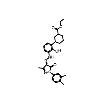 CCOC(=O)C1CCCC(c2cccc(NN=C3C(=O)N(c4ccc(C)c(C)c4)N=C3C)c2O)C1